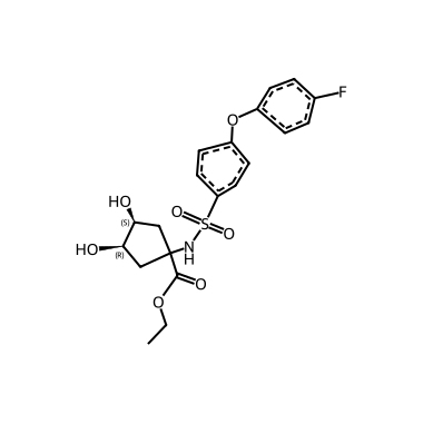 CCOC(=O)C1(NS(=O)(=O)c2ccc(Oc3ccc(F)cc3)cc2)C[C@@H](O)[C@@H](O)C1